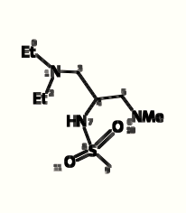 CCN(CC)CC(CNC)NS(C)(=O)=O